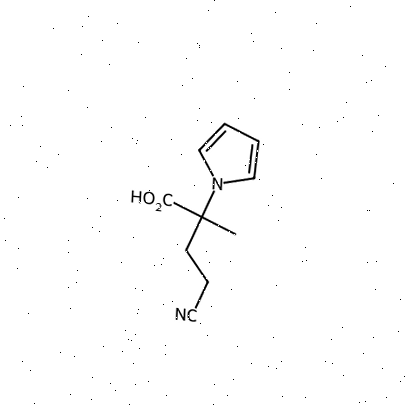 CC(CCC#N)(C(=O)O)n1cccc1